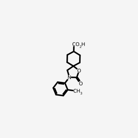 Cc1ccccc1N1CC2(CCC(C(=O)O)CC2)OC1=O